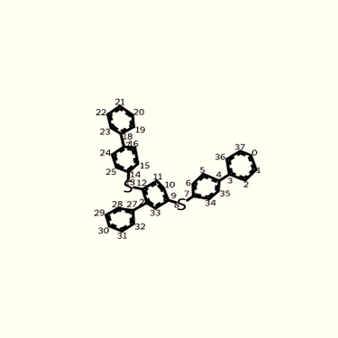 c1ccc(-c2ccc(Sc3ccc(Sc4ccc(-c5ccccc5)cc4)c(-c4ccccc4)c3)cc2)cc1